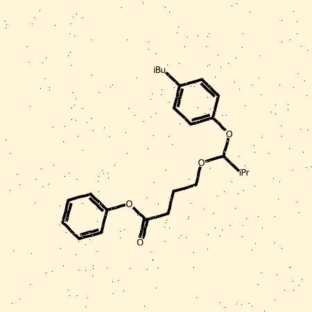 CCC(C)c1ccc(OC(OCCCC(=O)Oc2ccccc2)C(C)C)cc1